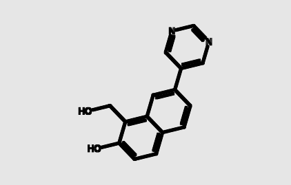 OCc1c(O)ccc2ccc(-c3cncnc3)cc12